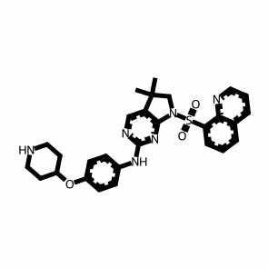 CC1(C)CN(S(=O)(=O)c2cccc3cccnc23)c2nc(Nc3ccc(OC4CCNCC4)cc3)ncc21